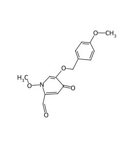 COc1ccc(COc2cn(OC)c(C=O)cc2=O)cc1